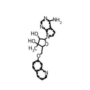 CC1(O)C(COc2ccc3cccnc3c2)OC(n2ccc3c(N)ncnc32)C1O